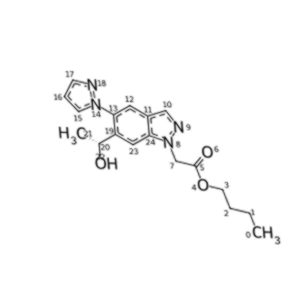 CCCCOC(=O)Cn1ncc2cc(-n3cccn3)c([C@@H](C)O)cc21